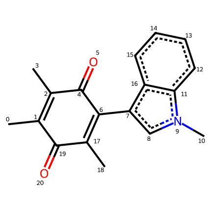 CC1=C(C)C(=O)C(c2cn(C)c3ccccc23)=C(C)C1=O